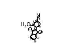 CCc1cc(C#N)ncc1N1C(=O)c2ccccc2C1=O